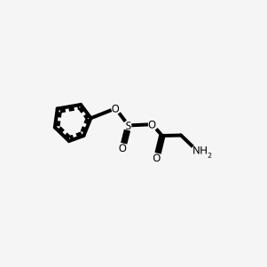 NCC(=O)OS(=O)Oc1ccccc1